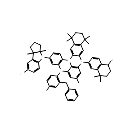 CC(C)C1CCC(C)(C)c2cc(N3c4cc5c(cc4B4c6ccc(N7c8ccc(C#N)cc8C8(C)CCCC78C)cc6N(c6ccc(C(C)(C)C)cc6Cc6ccccc6)c6cc(C(C)(C)C)cc3c64)C(C)(C)CCC5(C)C)ccc21